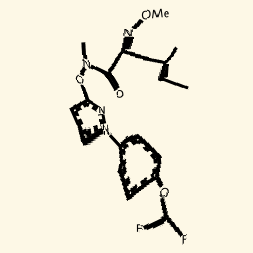 CC=C(C)C(=NOC)C(=O)N(C)Oc1ccn(-c2ccc(OC(F)F)cc2)n1